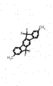 Cc1ccc2c(c1)C(F)(F)c1cc3c(cc1-2)C(F)(F)c1cc(C)ccc1-3